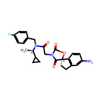 C[C@H](C1CC1)N(Cc1ccc(F)cc1)C(=O)CN1C(=O)O[C@]2(CCc3cc(N)ccc32)C1=O